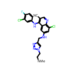 CNCCn1cc(CNc2cc(Cl)c3ncc(C#N)c(Nc4ccc(F)c(Cl)c4)c3c2)nn1